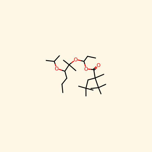 CCCC(OC(C)C)C(C)(C)OC(CC)OC(=O)C(C)(CC(C)(C)C)C(C)(C)C